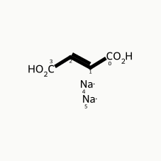 O=C(O)/C=C/C(=O)O.[Na].[Na]